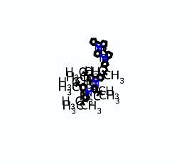 CC(C)(C)c1cc2c3c(c1)-n1c4ccc(C(C)(C)Cc5ccc6c(c5)c5cccc7c5n6-c5cccc6c5B7c5cccc7c8ccccc8n-6c57)cc4c4cc(C(C)(C)C)cc(c41)B3c1cc(C(C)(C)C)cc3c4cc(C(C)(C)C)ccc4n-2c13